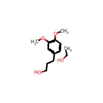 CCO.COc1ccc(CCCO)cc1OC